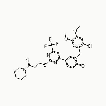 COc1cc(Cl)c(Cn2cc(-c3cc(C(F)(F)F)nc(SCCC(=O)N4CCCCC4)n3)ccc2=O)cc1OC